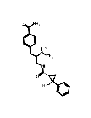 CN(C)C(CNC(=O)[C@@H]1C[C@]1(C)c1ccccc1)Cc1ccc(C(N)=O)cc1